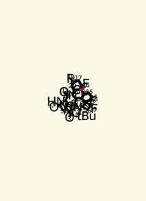 CC(C)(C)OC(=O)N1CC(=O)NC(C(=O)N(c2cc(F)cc(F)c2)C(C(=O)NC2CC(F)(F)C2)c2ccccc2Cl)C1